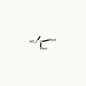 CC(=O)O.CCCC(C)OC(C)CCC